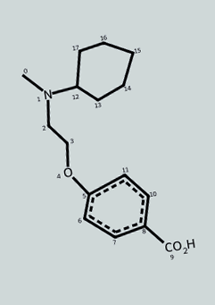 CN(CCOc1ccc(C(=O)O)cc1)C1CCCCC1